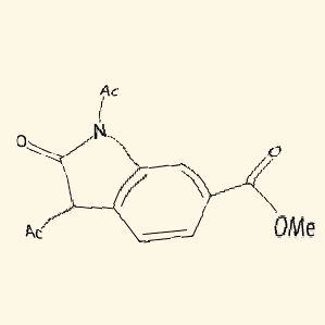 COC(=O)c1ccc2c(c1)N(C(C)=O)C(=O)C2C(C)=O